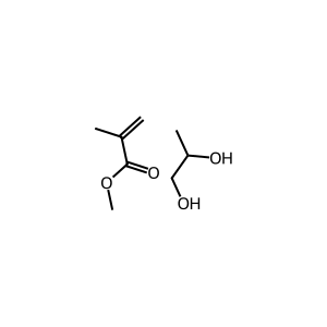 C=C(C)C(=O)OC.CC(O)CO